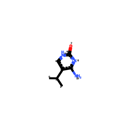 CC(C)c1c[nH]c(=O)nc1N